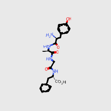 C[C@@H](NC(=O)[C@@H](N)Cc1ccc(O)cc1)C(=O)NCC(=O)N[C@@H](Cc1ccccc1)C(=O)O